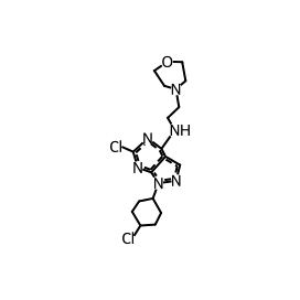 Clc1nc(NCCN2CCOCC2)c2cnn(C3CCC(Cl)CC3)c2n1